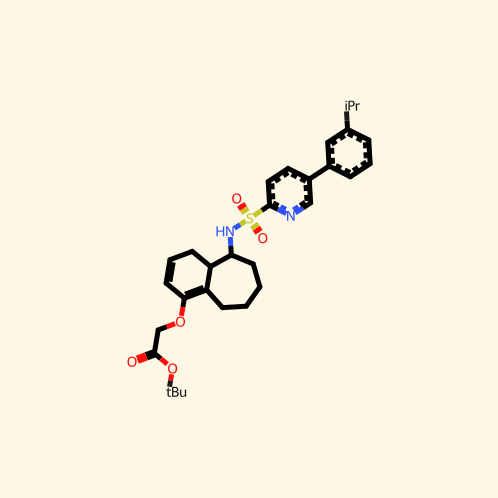 CC(C)c1cccc(-c2ccc(S(=O)(=O)NC3CCCCC4=C(OCC(=O)OC(C)(C)C)C=CCC43)nc2)c1